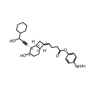 CC(=O)Nc1ccc(OC(=O)CC/C=C2/C[C@@H]3[C@@H](C#CC(O)C4CCCCC4)[C@H](O)CC[C@H]23)cc1